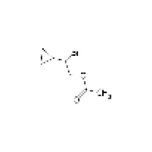 CC(=O)OCC(Br)C1CC1